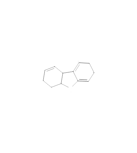 C1=CC2C3=CCCC=C3OC2CC1